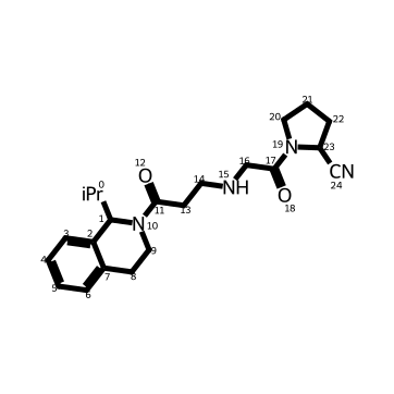 CC(C)C1c2ccccc2CCN1C(=O)CCNCC(=O)N1CCCC1C#N